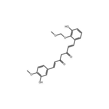 COCOc1c(O)cccc1/C=C/C(=O)CC(=O)/C=C/c1ccc(OC)c(O)c1